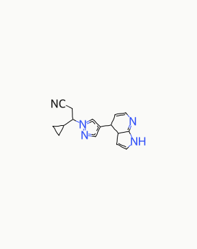 N#CCC(C1CC1)n1cc(C2C=CN=C3NC=CC32)cn1